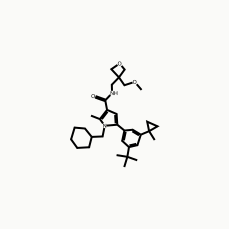 COCC1(CNC(=O)c2cc(-c3cc(C(C)(C)C)cc(C4(C)CC4)c3)n(CC3CCCCC3)c2C)COC1